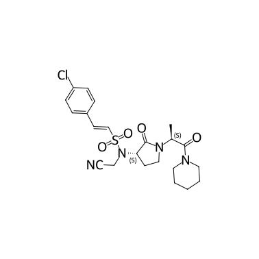 C[C@@H](C(=O)N1CCCCC1)N1CC[C@H](N(CC#N)S(=O)(=O)C=Cc2ccc(Cl)cc2)C1=O